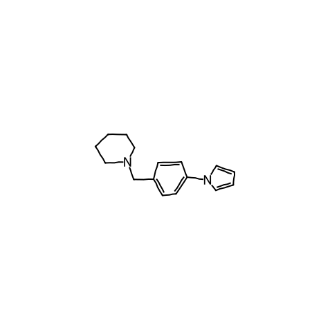 c1ccn(-c2ccc(CN3CCCCC3)cc2)c1